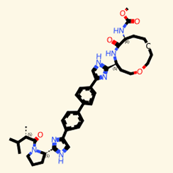 COC(=O)N[C@@H]1CCCCCOCC[C@@H](c2nc(-c3ccc(-c4ccc(-c5c[nH]c([C@@H]6CCCN6C(=O)[C@@H](C)C(C)C)n5)cc4)cc3)c[nH]2)NC1=O